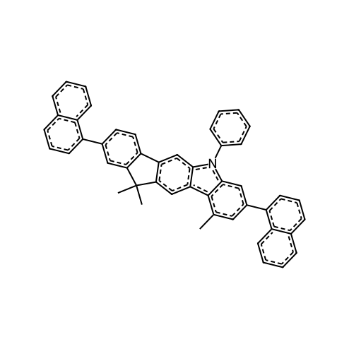 Cc1cc(-c2cccc3ccccc23)cc2c1c1cc3c(cc1n2-c1ccccc1)-c1ccc(-c2cccc4ccccc24)cc1C3(C)C